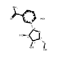 NC(=O)c1ccc[n+]([C@@H]2O[C@H](CO)[C@@H](O)[C@H]2O)c1.[OH-]